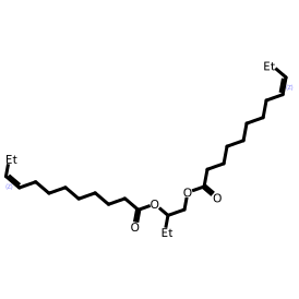 CC/C=C\CCCCCCCC(=O)OCC(CC)OC(=O)CCCCCCC/C=C\CC